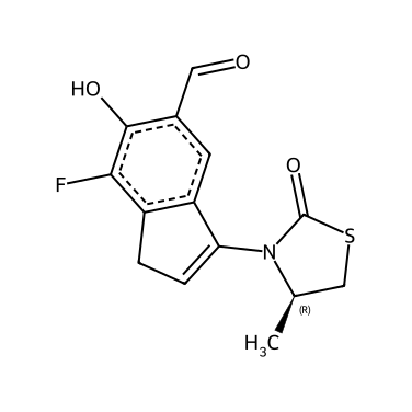 C[C@@H]1CSC(=O)N1C1=CCc2c1cc(C=O)c(O)c2F